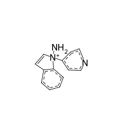 N[N+]1(c2ccncc2)C=Cc2ccccc21